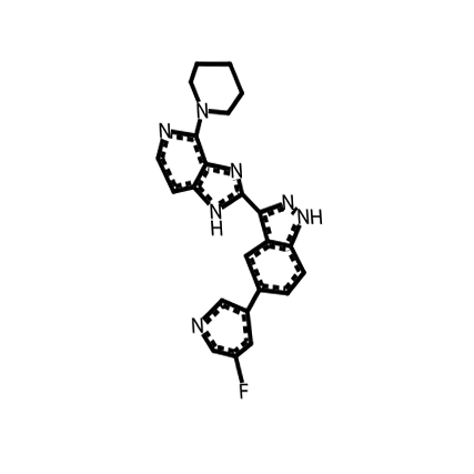 Fc1cncc(-c2ccc3[nH]nc(-c4nc5c(N6CCCCC6)nccc5[nH]4)c3c2)c1